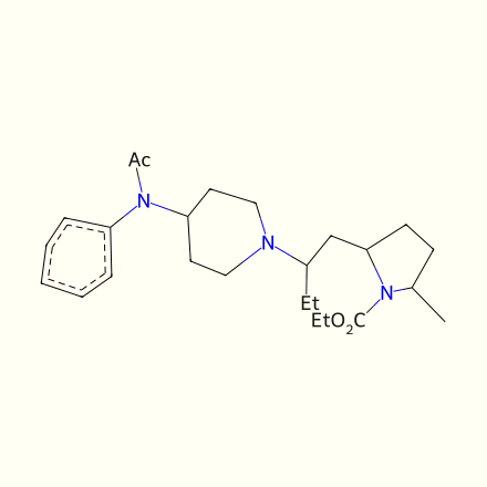 CCOC(=O)N1C(C)CCC1CC(CC)N1CCC(N(C(C)=O)c2ccccc2)CC1